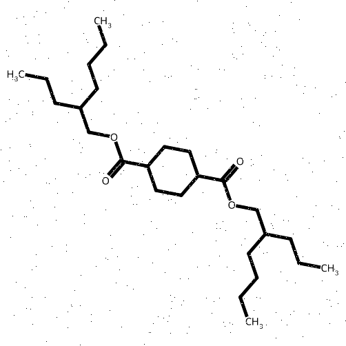 CCCCC(CCC)COC(=O)C1CCC(C(=O)OCC(CCC)CCCC)CC1